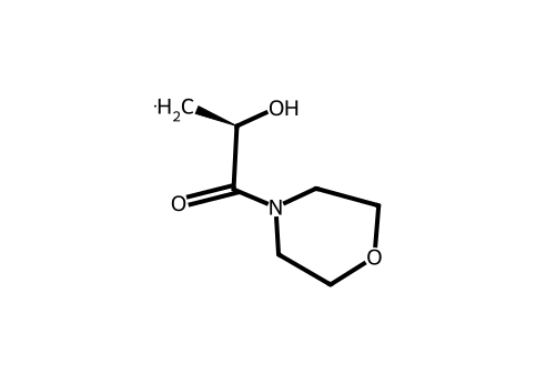 [CH2][C@@H](O)C(=O)N1CCOCC1